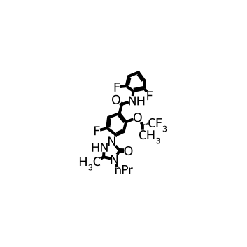 CCCN1C(=O)N(c2cc(O[C@@H](C)C(F)(F)F)c(C(=O)Nc3c(F)cccc3F)cc2F)NC1C